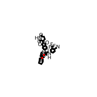 CC(C)(C(=O)Nc1ccc(C#N)c(C(F)(F)F)c1)n1cc(N2C3CCC2CC(N2CCN(c4ccc5c(c4)C(=O)N(C4CCC(=O)NC4=O)C5=O)CC2)C3)cn1